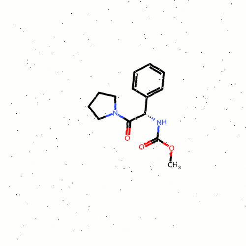 COC(=O)N[C@H](C(=O)N1CCCC1)c1ccccc1